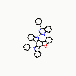 c1ccc(-c2nc(-n3c4ccccc4c4c5c(c6ccccc6n5-c5ccccc5)c5oc6ccccc6c5c43)nc3ccccc23)cc1